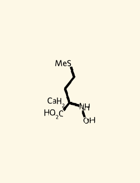 CSCCC(NO)C(=O)O.[CaH2]